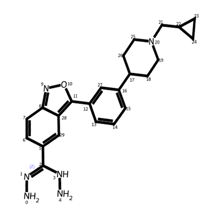 N/N=C(\NN)c1ccc2noc(-c3cccc(C4CCN(CC5CC5)CC4)c3)c2c1